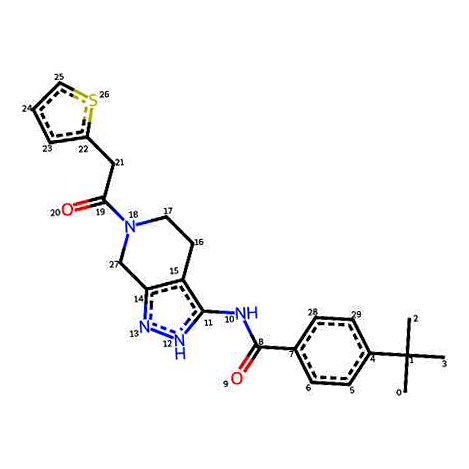 CC(C)(C)c1ccc(C(=O)Nc2[nH]nc3c2CCN(C(=O)Cc2cccs2)C3)cc1